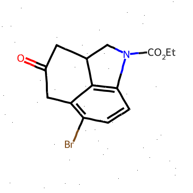 CCOC(=O)N1CC2CC(=O)Cc3c(Br)ccc1c32